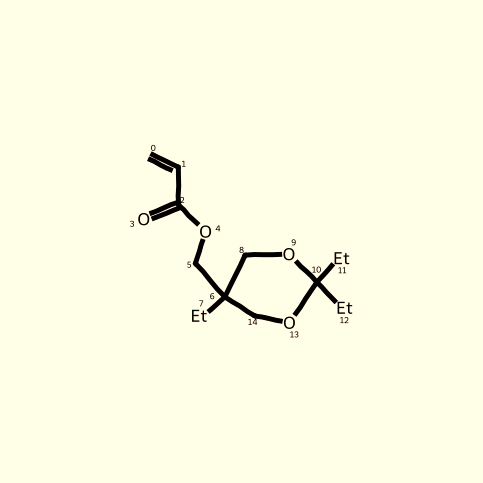 C=CC(=O)OCC1(CC)COC(CC)(CC)OC1